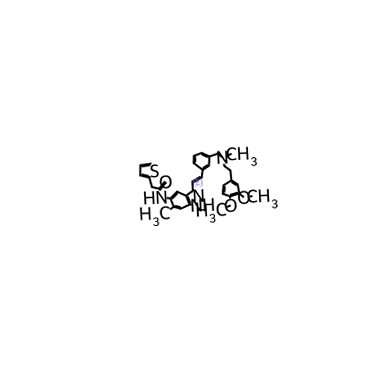 COc1ccc(CCN(C)Cc2cccc(/C=C/c3n[nH]c4cc(C)c(NC(=O)Cc5cccs5)cc34)c2)cc1OC